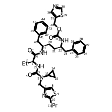 CC[C@H](NC(=O)N(Cc1csc(C(C)C)n1)C1CC1)C(=O)N[C@H](CC[C@H](Cc1ccccc1)NC(=O)OCc1cncs1)Cc1ccccc1